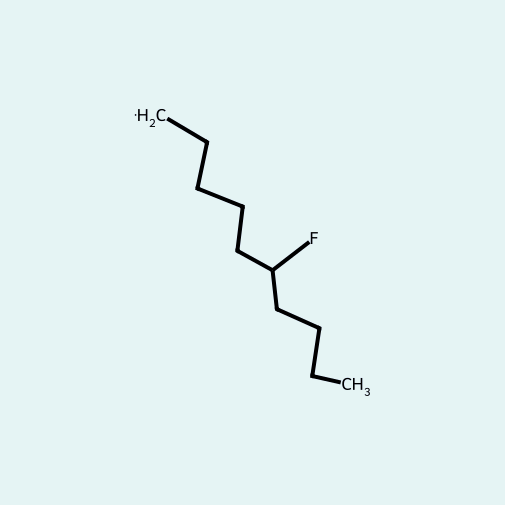 [CH2]CCCCC(F)CCCC